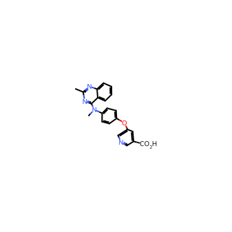 Cc1nc(N(C)c2ccc(Oc3cncc(C(=O)O)c3)cc2)c2ccccc2n1